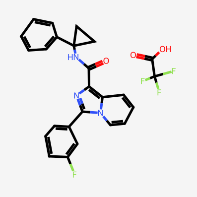 O=C(NC1(c2ccccc2)CC1)c1nc(-c2cccc(F)c2)n2ccccc12.O=C(O)C(F)(F)F